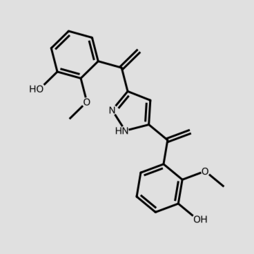 C=C(c1cc(C(=C)c2cccc(O)c2OC)[nH]n1)c1cccc(O)c1OC